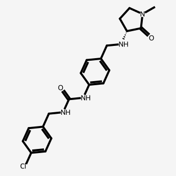 CN1CC[C@@H](NCc2ccc(NC(=O)NCc3ccc(Cl)cc3)cc2)C1=O